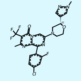 Cc1nc2c(-c3ccc(Cl)cc3F)nc(N3CCO[C@@H](c4cnn(C)c4)C3)cn2c(=O)c1C(F)(F)F